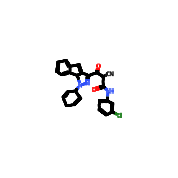 N#CC(C(=O)Nc1cccc(Cl)c1)C(=O)C1=NN(C2C=CCC=C2)C2C1=Cc1ccccc12